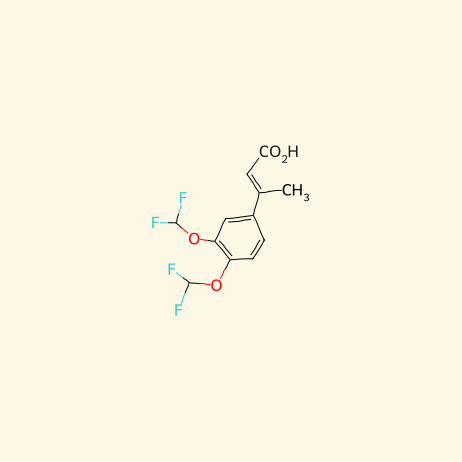 CC(=CC(=O)O)c1ccc(OC(F)F)c(OC(F)F)c1